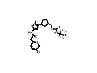 CC(C)(C)NC(=O)OC[C@@H]1CC[C@H](c2cc(NC(=O)Cc3ccc(Cl)cn3)n[nH]2)C1